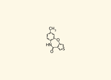 Cc1ccc2c(c1)Oc1cscc1C(=O)N2